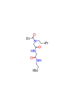 CCC(=O)N(CCC(C)C)CC(=O)NCC(=O)NCCC(C)(C)C